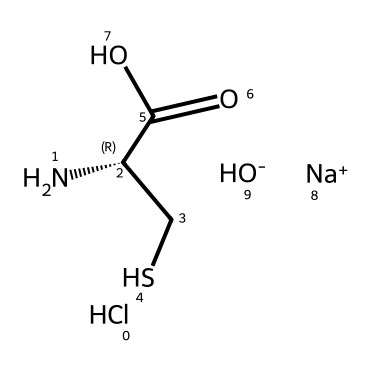 Cl.N[C@@H](CS)C(=O)O.[Na+].[OH-]